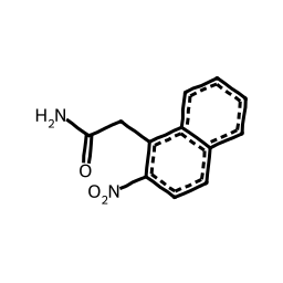 NC(=O)Cc1c([N+](=O)[O-])ccc2ccccc12